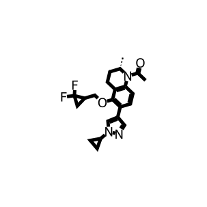 CC(=O)N1c2ccc(-c3cnn(C4CC4)c3)c(OCC3CC3(F)F)c2CC[C@@H]1C